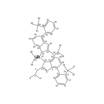 CC(C)CC1=Cc2c(-c3ccccc3C(C)(C)C)cccc2[CH]1[Zr]([CH]1C(CC(C)C)=Cc2c(-c3ccccc3C(C)(C)C)cccc21)[SiH](C)C